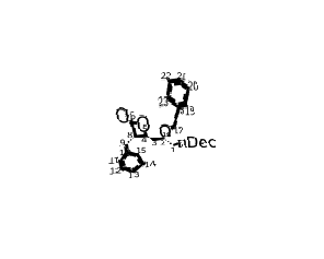 CCCCCCCCCCC[C@H](C[C@@H]1OC(=O)[C@H]1Cc1ccccc1)OCc1ccccc1